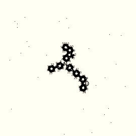 CC1(C)c2cc(N(c3ccc(-c4ccccc4)cc3)c3ccc(-c4ccc(-c5ccc6oc7ccccc7c6c5)cc4)cc3)ccc2-c2c1ccc1ccccc21